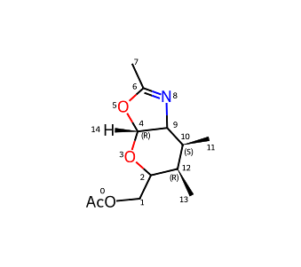 CC(=O)OCC1O[C@@H]2OC(C)=NC2[C@@H](C)[C@H]1C